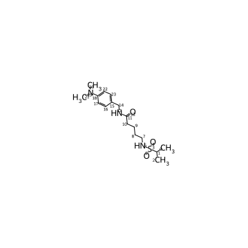 CC(C)S(=O)(=O)NCCCCC(=O)NCc1ccc(N(C)C)cc1